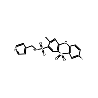 Cc1cc2c(cc1S(=O)(=O)NCc1ccncc1)S(=O)(=O)c1cc(F)ccc1O2